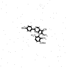 COc1ccc(C)c(-n2c(N)c(C#N)c3cnc(-c4ccc(C(C)(C)C)cc4)nc32)c1C